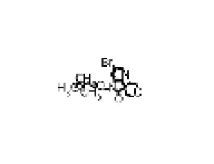 C[Si](C)(C)CCOCN1C(=O)C2(CCOCC2)c2ncc(Br)cc21